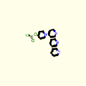 [Cl][Rh]([Cl])[Cl].c1ccncc1.c1ccncc1.c1ccncc1.c1ccncc1